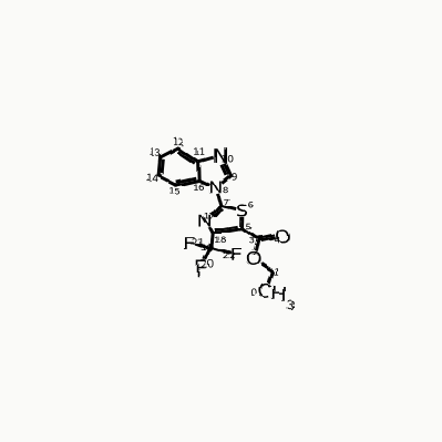 CCOC(=O)c1sc(-n2cnc3ccccc32)nc1C(F)(F)F